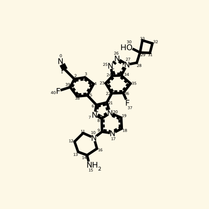 N#Cc1ccc(-c2nc3c(N4CCCC(N)C4)nccn3c2-c2cc3nnn(CC4(O)CCC4)c3cc2F)cc1F